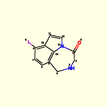 O=C1CNCc2ccc(I)c3ccn1c23